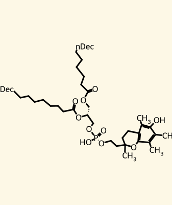 CCCCCCCCCCCCCCCCCC(=O)O[C@H](COC(=O)CCCCCCCCCCCCCCC)COP(=O)(O)OCCC1(C)CCc2c(C)c(O)c(C)c(C)c2O1